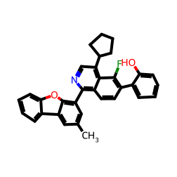 Cc1cc(-c2ncc(C3CCCC3)c3c(F)c(-c4ccccc4O)ccc23)c2oc3ccccc3c2c1